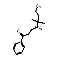 CC(C)(CCO)NCCC(=O)c1ccccc1